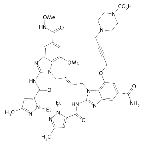 CCn1nc(C)cc1C(=O)Nc1nc2cc(C(=O)NOC)cc(OC)c2n1CC=CCn1c(NC(=O)c2cc(C)nn2CC)nc2cc(C(N)=O)cc(OCC#CCN3CCN(C(=O)O)CC3)c21